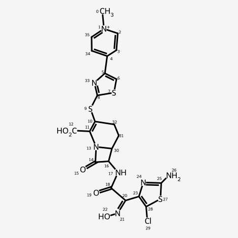 C[n+]1ccc(-c2csc(SC3=C(C(=O)O)N4C(=O)C(NC(=O)/C(=N\O)c5nc(N)sc5Cl)C4CC3)n2)cc1